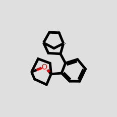 c1ccc(C23CCC(CC2)O3)c(C2CC3CC[C]2C3)c1